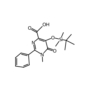 Cn1c(-c2ccccc2)nc(C(=O)O)c(O[Si](C)(C)C(C)(C)C)c1=O